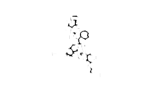 C=CCNC(=O)C(=O)C(CC)NC(=O)[C@@H]1[C@H]2CC(C)(C)O[C@H]2CN1C(=O)[C@@H](NC(=O)N[C@H](C(=O)C1=NCCS1)C(C)C)C1CCCCC1